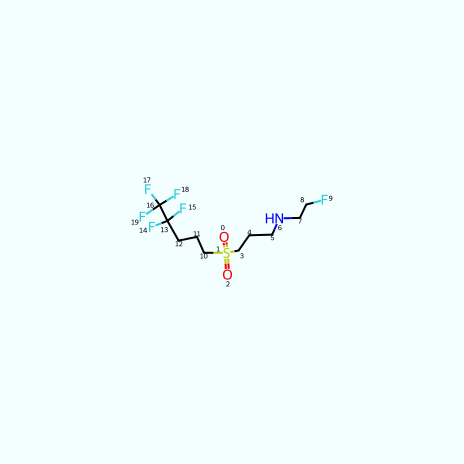 O=S(=O)(CCCNCCF)CCCC(F)(F)C(F)(F)F